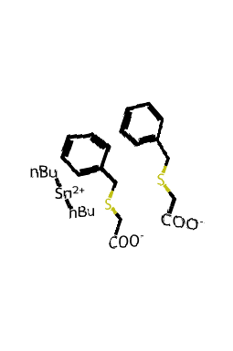 CCC[CH2][Sn+2][CH2]CCC.O=C([O-])CSCc1ccccc1.O=C([O-])CSCc1ccccc1